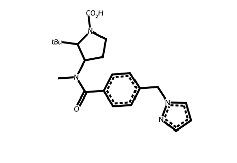 CN(C(=O)c1ccc(Cn2cccn2)cc1)C1CCN(C(=O)O)C1C(C)(C)C